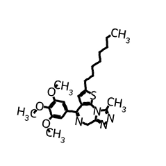 CCCCCCCCc1cc2c(s1)-n1c(C)nnc1CN=C2c1cc(OC)c(OC)c(OC)c1